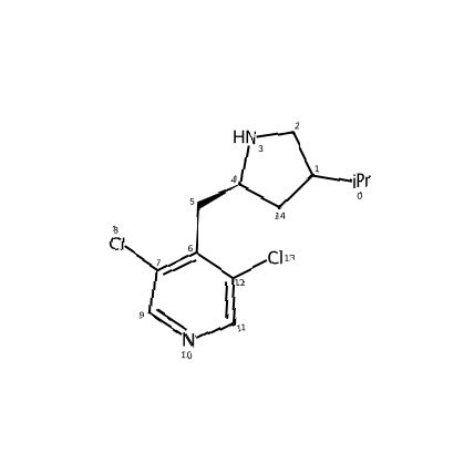 CC(C)C1CN[C@H](Cc2c(Cl)cncc2Cl)C1